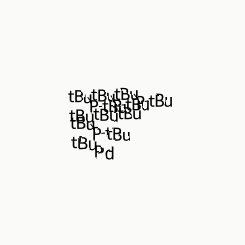 CC(C)(C)P(C(C)(C)C)C(C)(C)C.CC(C)(C)P(C(C)(C)C)C(C)(C)C.CC(C)(C)P(C(C)(C)C)C(C)(C)C.CC(C)(C)P(C(C)(C)C)C(C)(C)C.[Pd]